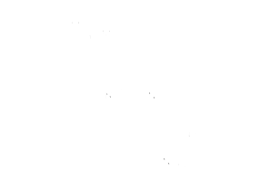 O=NC(=O)c1ccc(-c2ccc(CC(=O)O)cn2)nc1